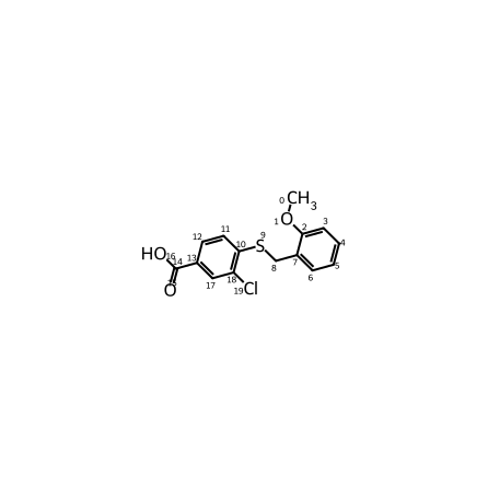 COc1ccccc1CSc1ccc(C(=O)O)cc1Cl